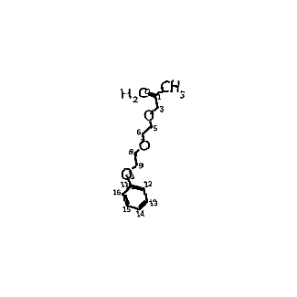 C=C(C)COCCOCCOc1ccccc1